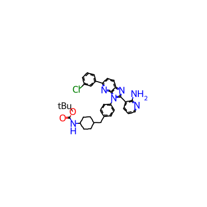 CC(C)(C)OC(=O)NC1CCC(Cc2ccc(-n3c(-c4cccnc4N)nc4ccc(-c5cccc(Cl)c5)nc43)cc2)CC1